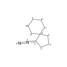 [N-]=[N+]=C1CCCC12[CH]CCCC2